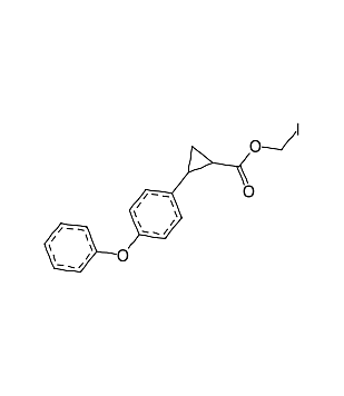 O=C(OCI)C1CC1c1ccc(Oc2ccccc2)cc1